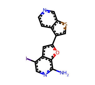 Nc1ncc(I)c2cc(-c3csc4cnccc34)oc12